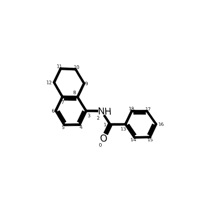 O=C(Nc1cccc2c1CCCC2)c1ccccc1